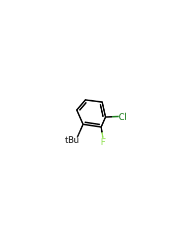 CC(C)(C)c1cccc(Cl)c1F